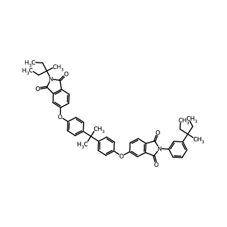 CCC(C)(CC)c1cccc(N2C(=O)c3ccc(Oc4ccc(C(C)(C)c5ccc(Oc6ccc7c(c6)C(=O)N(C(C)(CC)CC)C7=O)cc5)cc4)cc3C2=O)c1